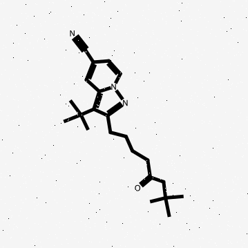 CC(C)(C)CC(=O)CCCCc1nn2ccc(C#N)cc2c1C(C)(C)C